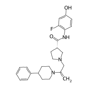 C=C(CN1CC[C@H](C(=O)Nc2ccc(O)cc2F)C1)N1CCC(c2ccccc2)CC1